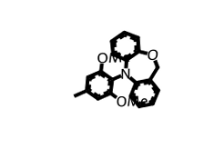 COc1cc(C)cc(OC)c1N1c2ccccc2COc2ccccc21